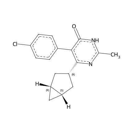 Cc1nc([C@@H]2C[C@@H]3C[C@@H]3C2)c(-c2ccc(Cl)cc2)c(=O)[nH]1